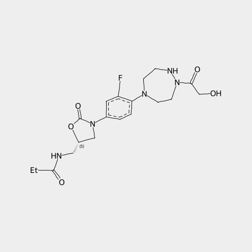 CCC(=O)NC[C@H]1CN(c2ccc(N3CCNN(C(=O)CO)CC3)c(F)c2)C(=O)O1